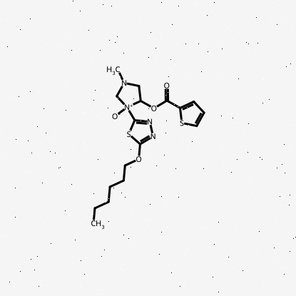 CCCCCCOc1nnc([N+]2([O-])CN(C)CC2OC(=O)c2cccs2)s1